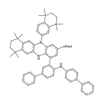 CCCCCc1cc(-c2cc(-c3ccccc3)ccc2Nc2ccc(-c3ccccc3)cc2)c2c(c1)N(c1ccc3c(c1)C(C)(C)CCC3(C)C)c1cc3c(cc1B2)C(C)(C)CCC3(C)C